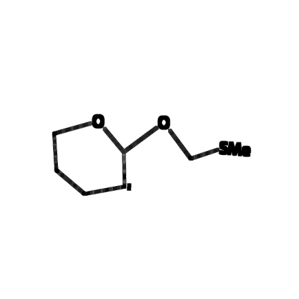 CSCOC1[C]CCCO1